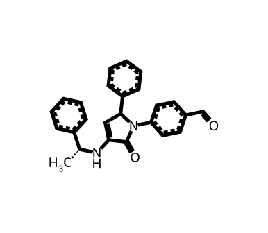 C[C@@H](NC1=CC(c2ccccc2)N(c2ccc(C=O)cc2)C1=O)c1ccccc1